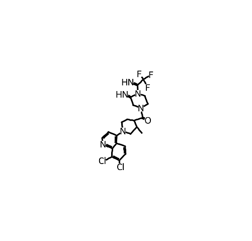 CC1CN(c2ccnc3c(Cl)c(Cl)ccc23)CCC1C(=O)N1CCN(C(=N)C(F)(F)F)C(=N)C1